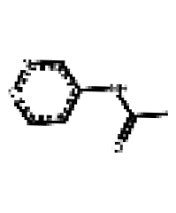 CC(=O)Nc1ccnnc1